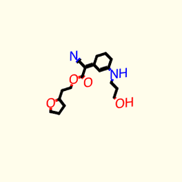 N#C/C(C(=O)OCCC1CCCO1)=C1/C=C(NCCCO)CCC1